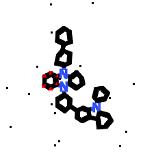 c1ccc(-c2ccc(N(c3ccccc3)c3ccccc3N(c3ccccc3)c3cccc(-c4ccc5c6ccccc6n(-c6ccccc6)c5c4)c3)cc2)cc1